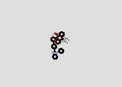 CC1(C)c2ccccc2C2(c3ccccc3Sc3ccc(-c4ccc(-c5nc6ccccc6n5-c5ccccc5)cc4)cc32)c2ccccc21